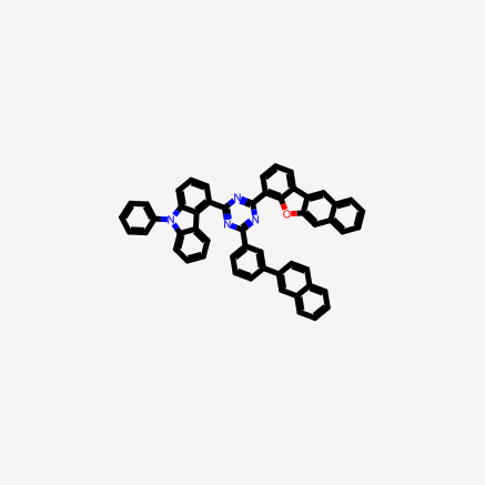 c1ccc(-n2c3ccccc3c3c(-c4nc(-c5cccc(-c6ccc7ccccc7c6)c5)nc(-c5cccc6c5oc5cc7ccccc7cc56)n4)cccc32)cc1